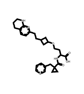 O=C(O)C(CCOC1CC(CCc2ccc3c(n2)NCCC3)C1)NC(=O)C1(Cc2cccnc2)CC1